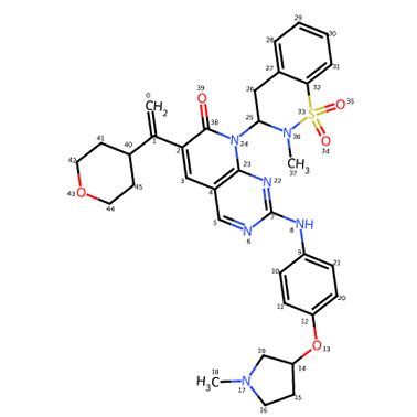 C=C(c1cc2cnc(Nc3ccc(OC4CCN(C)C4)cc3)nc2n(C2Cc3ccccc3S(=O)(=O)N2C)c1=O)C1CCOCC1